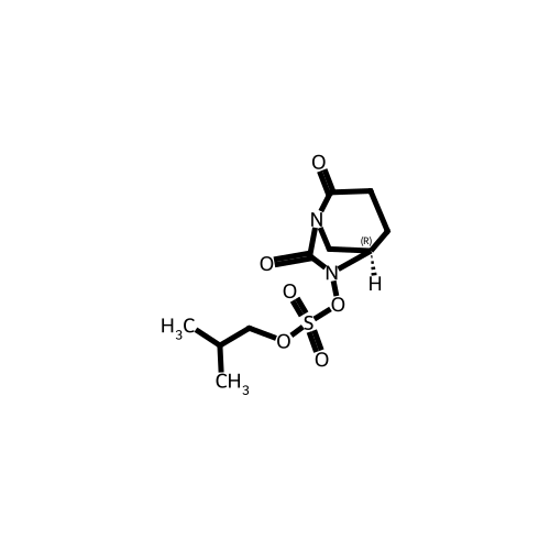 CC(C)COS(=O)(=O)ON1C(=O)N2C[C@H]1CCC2=O